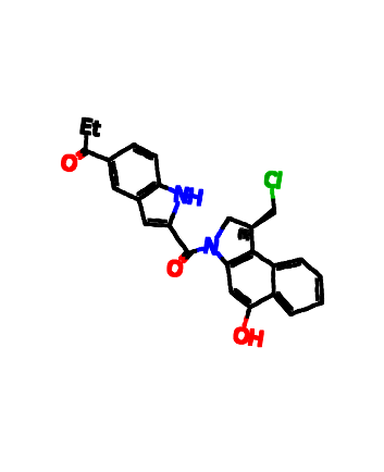 CCC(=O)c1ccc2[nH]c(C(=O)N3C[C@@H](CCl)c4c3cc(O)c3ccccc43)cc2c1